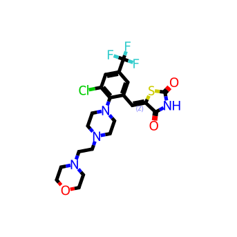 O=C1NC(=O)/C(=C/c2cc(C(F)(F)F)cc(Cl)c2N2CCN(CCN3CCOCC3)CC2)S1